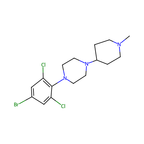 CN1CCC(N2CCN(c3c(Cl)cc(Br)cc3Cl)CC2)CC1